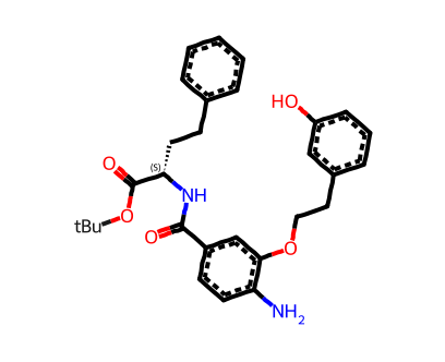 CC(C)(C)OC(=O)[C@H](CCc1ccccc1)NC(=O)c1ccc(N)c(OCCc2cccc(O)c2)c1